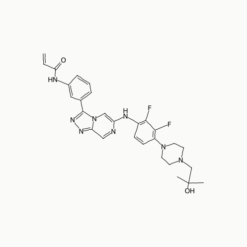 C=CC(=O)Nc1cccc(-c2nnc3cnc(Nc4ccc(N5CCN(CC(C)(C)O)CC5)c(F)c4F)cn23)c1